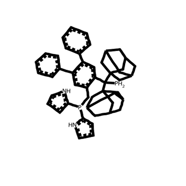 PC(c1cc(-c2ccccc2)c(-c2ccccc2)cc1CP(c1ccc[nH]1)c1ccc[nH]1)(C12CC3CC(CC(C3)C1)C2)C12CC3CC(CC(C3)C1)C2